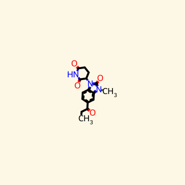 CCC(=O)c1ccc2c(c1)n(C)c(=O)n2C1CCC(=O)NC1=O